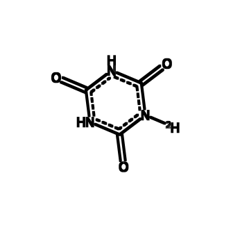 [2H]n1c(=O)[nH]c(=O)[nH]c1=O